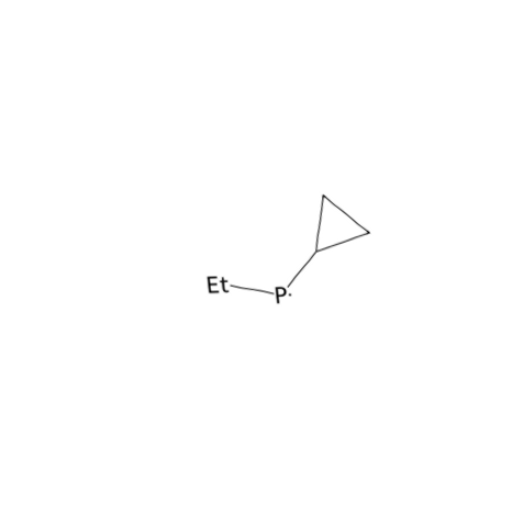 CC[P]C1CC1